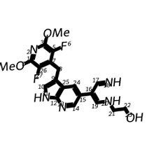 COc1nc(OC)c(F)c(Cc2c[nH]c3ncc(/C(C=N)=C/NCCO)cc23)c1F